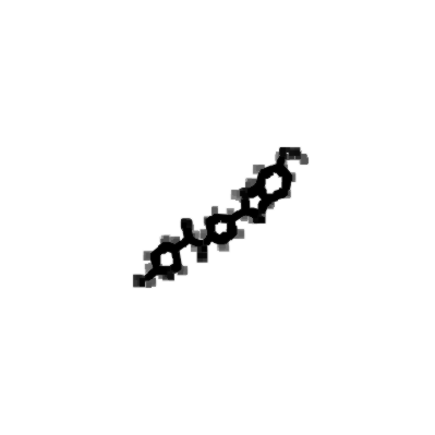 Cc1ccc2nc(-c3ccc(NC(=O)c4ccc(Br)nc4)cc3)sc2c1